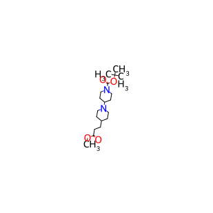 COC(=O)CCC1CCN(C2CCN(C(=O)OC(C)(C)C)CC2)CC1